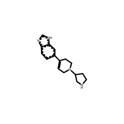 C1=C(c2ccc3nc[nH]c3c2)CCN(C2CCNC2)C1